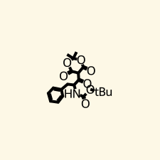 CC(C)(C)OC(=O)NC(Cc1ccccc1)C(=O)C1C(=O)OC(C)(C)OC1=O